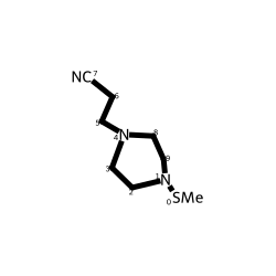 CSN1CCN(CCC#N)CC1